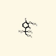 CCC(C)(C)c1ccc(F)c(OC)c1F